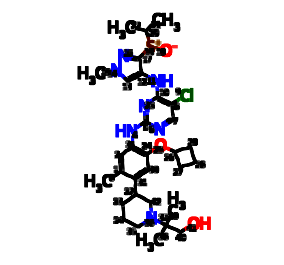 Cc1cc(Nc2ncc(Cl)c(Nc3cn(C)nc3[S+]([O-])C(C)C)n2)c(OC2CCC2)cc1C1CCCN(C(C)(C)CO)C1